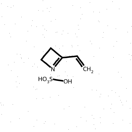 C=CC1=NCC1.O=S(=O)(O)O